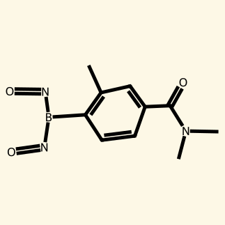 Cc1cc(C(=O)N(C)C)ccc1B(N=O)N=O